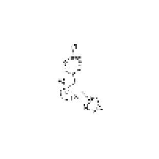 O[C@@]1(Cc2ccc(Cl)cc2)CCC[C@H]1Cn1cncn1